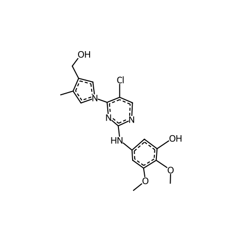 COc1cc(Nc2ncc(Cl)c(-n3cc(C)c(CO)c3)n2)cc(O)c1OC